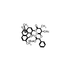 CC(=O)O[C@@H](C(=O)O[C@@H](C(=O)OC(C)(C)C)c1ccccc1)[C@@H](C)C(=O)OC1=CC[C@@]2(O)[C@H]3Cc4ccc(C)c5c4[C@@]2(CCN3C)[C@H]1O5